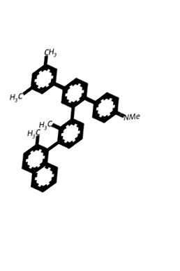 CNc1ccc(-c2ccc(-c3cc(C)cc(C)c3)cc2-c2cccc(-c3c(C)ccc4ccccc34)c2C)cc1